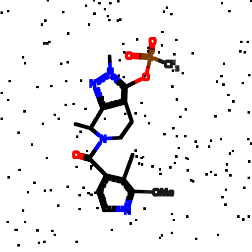 COc1nccc(C(=O)N2CCc3c(nn(C)c3OS(=O)(=O)C(F)(F)F)C2C)c1C